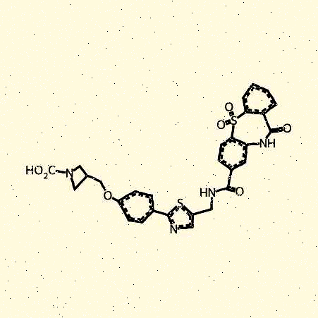 O=C(NCc1cnc(-c2ccc(OCC3CN(C(=O)O)C3)cc2)s1)c1ccc2c(c1)NC(=O)c1ccccc1S2(=O)=O